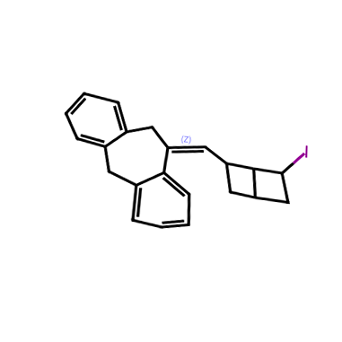 IC1CC2CC(/C=C3/Cc4ccccc4Cc4ccccc43)C12